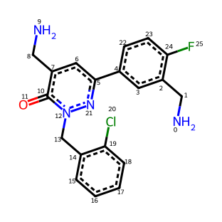 NCc1cc(-c2cc(CN)c(=O)n(Cc3ccccc3Cl)n2)ccc1F